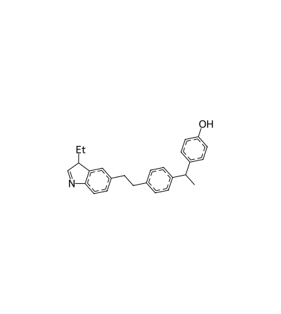 CCC1C=Nc2ccc(CCc3ccc(C(C)c4ccc(O)cc4)cc3)cc21